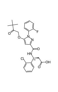 CC(C)(C)C(=O)COc1cc(C(=O)N[C@@H](CC(=O)O)c2ccccc2Cl)nn1-c1ccccc1F